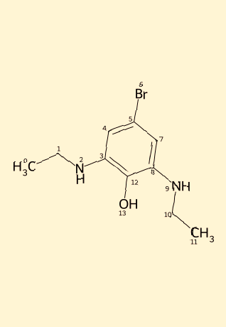 CCNc1cc(Br)cc(NCC)c1O